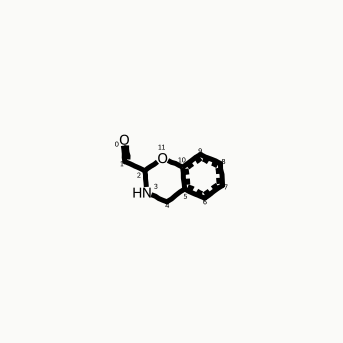 O=CC1NCc2ccccc2O1